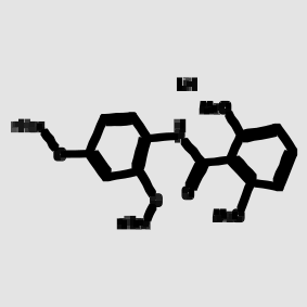 CCCCCCOc1ccc(PC(=O)c2c(OC)cccc2OC)c(OCCCCCC)c1.[LiH]